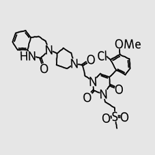 COc1cccc(-c2cn(CC(=O)N3CCC(N4CCc5ccccc5NC4=O)CC3)c(=O)n(CCS(C)(=O)=O)c2=O)c1Cl